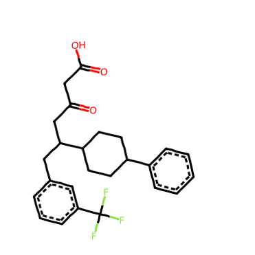 O=C(O)CC(=O)CC(Cc1cccc(C(F)(F)F)c1)C1CCC(c2ccccc2)CC1